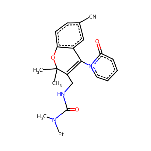 CCN(C)C(=O)NCC1=C(n2ccccc2=O)c2cc(C#N)ccc2OC1(C)C